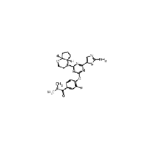 CN(C)C(=O)c1ccc(Oc2nc(-c3cnc(N)s3)nc(N3CCO[C@@H]4CCC[C@@H]43)n2)c(F)c1